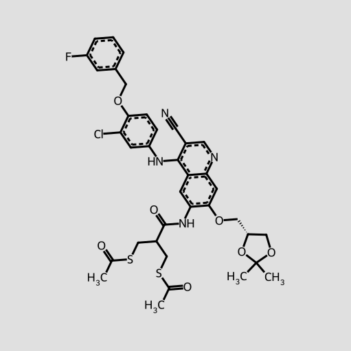 CC(=O)SCC(CSC(C)=O)C(=O)Nc1cc2c(Nc3ccc(OCc4cccc(F)c4)c(Cl)c3)c(C#N)cnc2cc1OC[C@@H]1COC(C)(C)O1